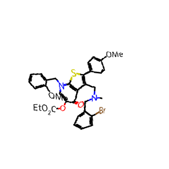 CCOC(=O)Oc1cn(Cc2ccccc2OC)c2sc(-c3ccc(OC)cc3)c(CN(C)Cc3ccccc3Br)c2c1=O